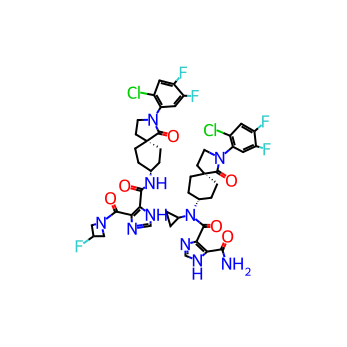 NC(=O)c1[nH]cnc1C(=O)N(C1CC1)[C@H]1CC[C@@]2(CCN(c3cc(F)c(F)cc3Cl)C2=O)CC1.O=C(N[C@H]1CC[C@@]2(CCN(c3cc(F)c(F)cc3Cl)C2=O)CC1)c1[nH]cnc1C(=O)N1CC(F)C1